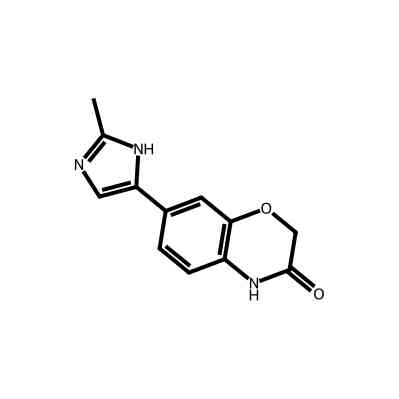 Cc1ncc(-c2ccc3c(c2)OCC(=O)N3)[nH]1